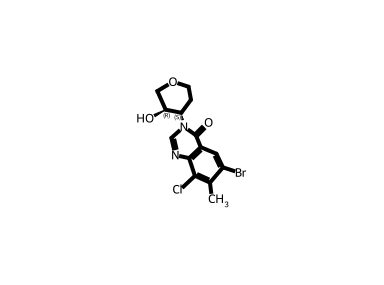 Cc1c(Br)cc2c(=O)n([C@H]3CCOC[C@@H]3O)cnc2c1Cl